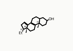 CC[C@H]1CC=C2C3=C(CC[C@@]21C)[C@@]1(C)CCC(O)CC1CC3